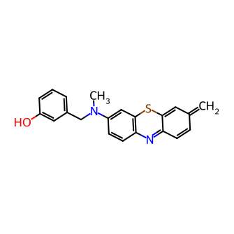 C=c1ccc2c(c1)Sc1cc(N(C)Cc3cccc(O)c3)ccc1N=2